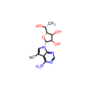 C[C@@H](O)[C@H]1O[C@@H](n2cc(C#N)c3c(N)ncnc32)[C@H](O)[C@@H]1O